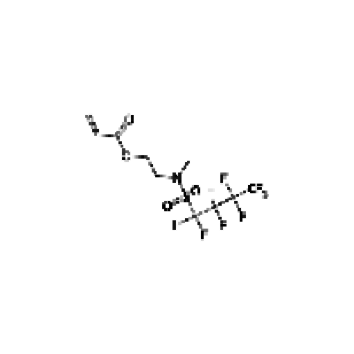 C=CC(=O)OCCN(C)S(=O)(=O)C(F)(F)C(F)(F)C(F)(F)C(F)(F)F